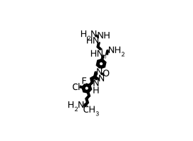 C[C@H](N)CCCc1cc(Cl)c(F)c(-c2cc3cn(-c4ccc([C@@H](CCN)NCCCNC(=N)N)cc4)c(=O)nc3[nH]2)c1